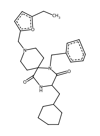 CCc1ccc(CN2CCC3(CC2)C(=O)NC(CC2CCCCC2)C(=O)N3Cc2ccccc2)o1